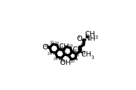 CNC(=O)CC[C@@H](C)C1CCC2C3C(CC[C@@]21C)[C@@]1(C)CCC(=O)CC1C[C@H]3O